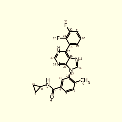 Cc1ccc(C(=O)NC2CC2)cc1-n1cnc2c(-c3cccc(F)c3F)ncnc21